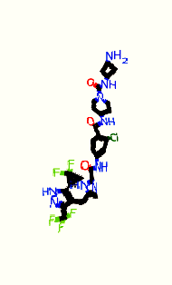 NC1CC(NC(=O)N2CCC(NC(=O)c3ccc(NC(=O)c4ncc(Cc5c(C(F)(F)F)n[nH]c5[C@@H]5CC5(F)F)[nH]4)cc3Cl)CC2)C1